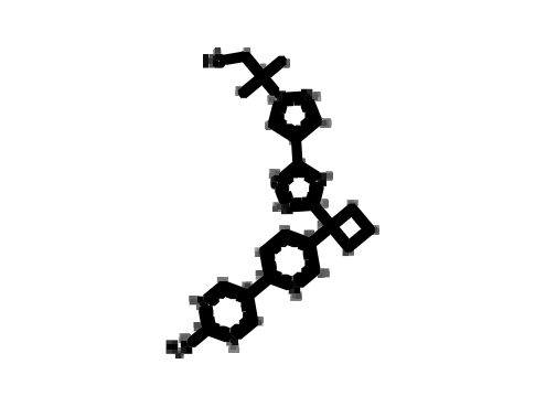 CC(C)(CO)n1cc(-c2nc(C3(c4ccc(-c5cnc(N)nc5)nc4)CCC3)no2)cn1